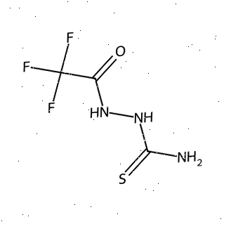 NC(=S)NNC(=O)C(F)(F)F